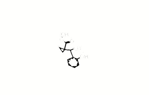 COC(=O)C1(C(C)c2ccccc2O)CC1